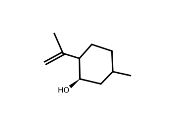 C=C(C)C1CCC(C)C[C@H]1O